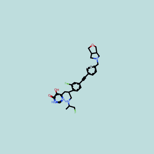 CC(CF)NCC(Cc1nc[nH]c(=O)c1O)c1ccc(C#Cc2ccc(CN3CC4COCC4C3)cc2)cc1F